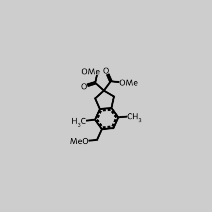 COCc1cc(C)c2c(c1C)CC(C(=O)OC)(C(=O)OC)C2